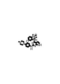 CN1CCN(c2ccc(Nc3nc(Nc4ccccc4N(C)S(C)(=O)=O)c4cc[nH]c4n3)cc2Cl)CC1